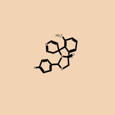 Cc1cccc(C(=O)O)c1C1(N2C(=O)CSC2c2ccc(F)cc2)C=CN=CC1